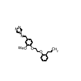 C=CCc1ccccc1OCCOc1ccc(/C=N/n2cnnc2)cc1OC